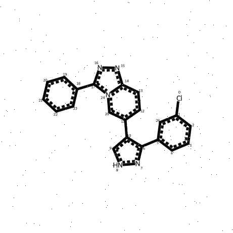 Clc1cccc(-c2n[nH]cc2-c2ccc3nnc(-c4ccccc4)n3c2)c1